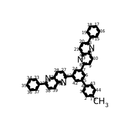 Cc1ccc(-c2cc(-c3ccc4nc(-c5ccccc5)ccc4n3)cc(-c3ccc4nc(-c5ccccc5)ccc4n3)c2)cc1